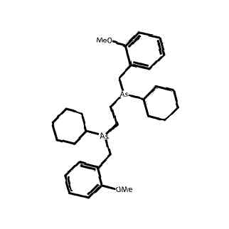 COc1ccccc1C[As](CC[As](Cc1ccccc1OC)C1CCCCC1)C1CCCCC1